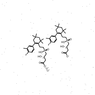 Cc1cc(C2=C(CCP(=O)(O)C[C@@H](O)CC(=O)[O-])C(C)(C)CC(C)(C)C2)ccc1F.Cc1cc(C2=C(CCP(=O)(O)C[C@@H](O)CC(=O)[O-])C(C)(C)CC(C)(C)C2)ccc1F.[Li+].[Li+]